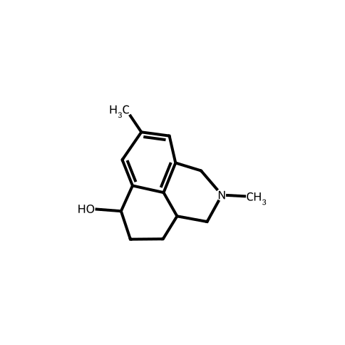 Cc1cc2c3c(c1)C(O)CCC3CN(C)C2